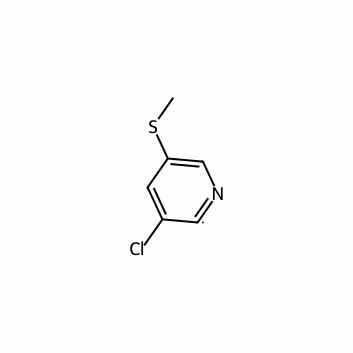 CSc1cn[c]c(Cl)c1